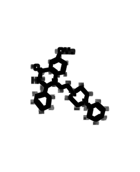 COc1ccc2c(c1)C(=O)NC(c1ccccc1)N2CCN1CCN(c2ccccc2)CC1